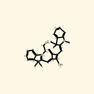 C=C1C(/C=C2/N(C)c3ccccc3C2(C)C)=C(O)C/1=C/C1=[N+](CCO)c2ccccc2C1(C)C